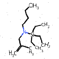 C=C(C)CN(CCCC)[Si](CC)(CC)CC